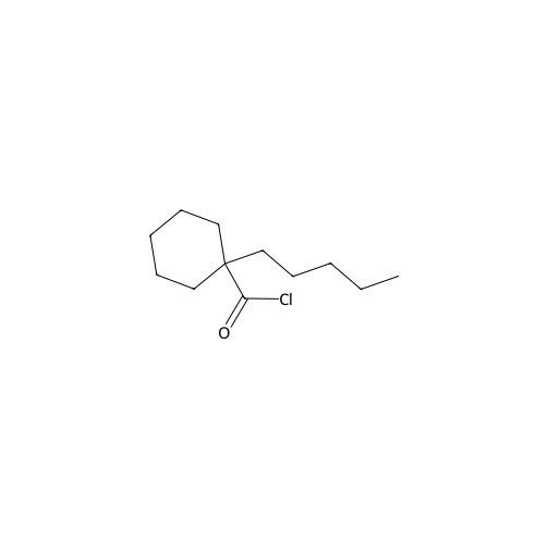 CCCCCC1(C(=O)Cl)CCCCC1